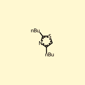 CCCCc1csc(CCCC)n1